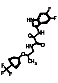 CC(CNC(=O)C(=O)Nc1c[nH]c2cc(F)c(F)cc12)Oc1ccc(C(F)(F)F)cc1